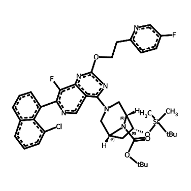 CC(C)(C)OC(=O)N1[C@@H]2C[C@@H](O[Si](C)(C)C(C)(C)C)[C@H]1CN(c1nc(OCCc3ccc(F)cn3)nc3c(F)c(-c4cccc5cccc(Cl)c45)ncc13)C2